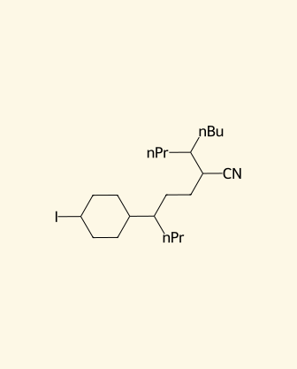 CCCCC(CCC)C(C#N)CCC(CCC)C1CCC(I)CC1